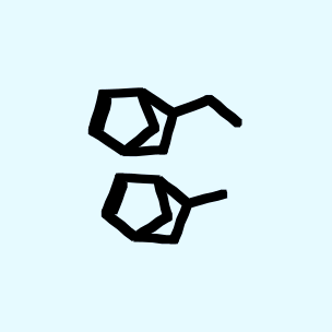 CC1CC2C=CC1C2.CCC1CC2C=CC1C2